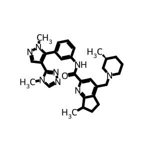 CC1CCc2c(CN3CCC[C@H](C)C3)cc(C(=O)Nc3cccc(-c4c(-c5nncn5C)cnn4C)c3)nc21